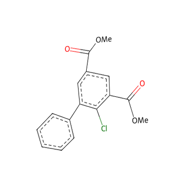 COC(=O)c1cc(C(=O)OC)c(Cl)c(-c2ccccc2)c1